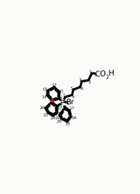 O=C(O)CCCCCCCP(Br)(c1ccccc1)(c1ccccc1)c1ccccc1